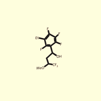 CCc1c(F)c(F)c(F)c(C(O)CC(OC)C(F)(F)F)c1F